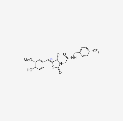 COc1cc(/C=C2\SC(=O)N(CC(=O)NCc3ccc(C(F)(F)F)cc3)C2=O)ccc1O